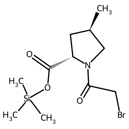 C[C@@H]1C[C@@H](C(=O)O[Si](C)(C)C)N(C(=O)CBr)C1